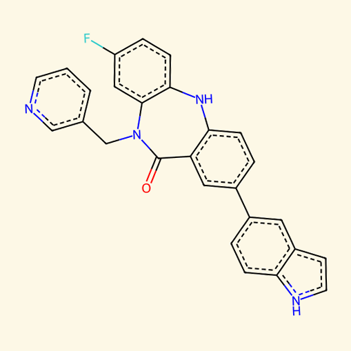 O=C1c2cc(-c3ccc4[nH]ccc4c3)ccc2Nc2ccc(F)cc2N1Cc1cccnc1